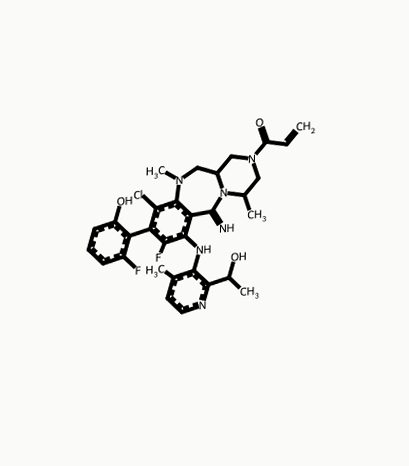 C=CC(=O)N1CC(C)N2C(=N)c3c(Nc4c(C)ccnc4C(C)O)c(F)c(-c4c(O)cccc4F)c(Cl)c3N(C)CC2C1